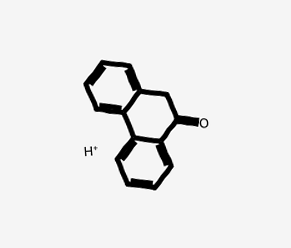 O=C1Cc2ccccc2-c2ccccc21.[H+]